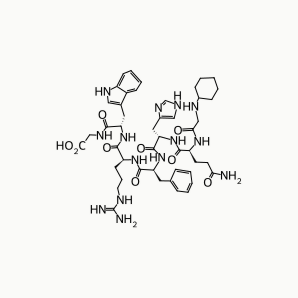 N=C(N)NCCC[C@H](NC(=O)[C@H](Cc1ccccc1)NC(=O)[C@H](Cc1c[nH]cn1)NC(=O)[C@H](CCC(N)=O)NC(=O)CNC1CCCCC1)C(=O)N[C@@H](Cc1c[nH]c2ccccc12)C(=O)NCC(=O)O